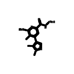 CCCCCNC(=O)c1cc(-c2cnn(C)c2C)c(C)c(SC)n1